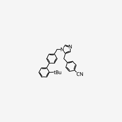 CC(C)(C)c1ccccc1-c1ccc(Cn2cncc2Cc2ccc(C#N)cc2)cc1